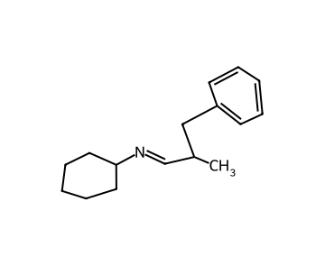 CC(C=NC1CCCCC1)Cc1ccccc1